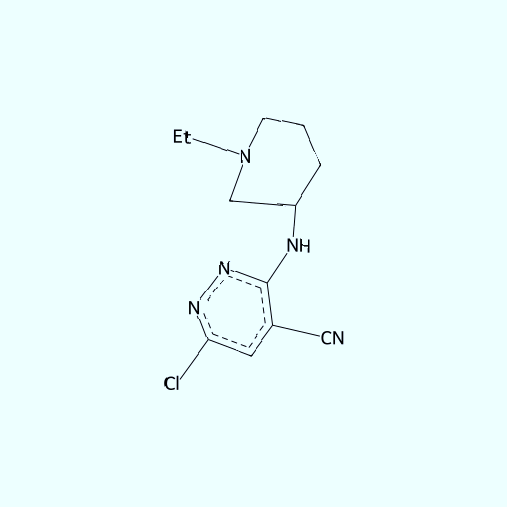 CCN1CCCC(Nc2nnc(Cl)cc2C#N)C1